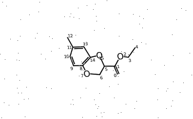 C=C(OCC)C1COc2ccc(C)cc2O1